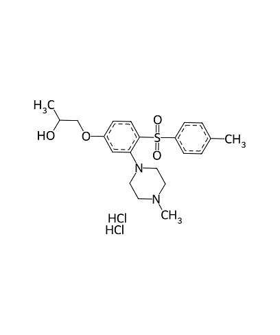 Cc1ccc(S(=O)(=O)c2ccc(OCC(C)O)cc2N2CCN(C)CC2)cc1.Cl.Cl